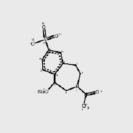 COC1CN(C(=O)C(F)(F)F)CCc2cc(S(=O)(=O)Cl)ccc21